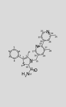 CC1=C(c2ccccc2)SC(C(N)=O)N1Cc1cnc(-c2ccnc(C)c2)c(C)c1